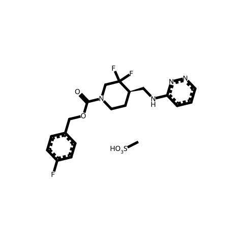 CS(=O)(=O)O.O=C(OCc1ccc(F)cc1)N1CC[C@H](CNc2cccnn2)C(F)(F)C1